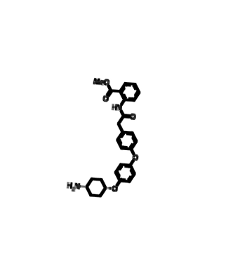 COC(=O)c1ccccc1NC(=O)Cc1ccc(Oc2ccc(O[C@H]3CC[C@@H](N)CC3)cc2)cc1